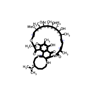 CO[C@H]1/C=C/O[C@@]2(C)Oc3c(C)c(O)c4c(c3C2=O)/C2=N/CC[C@H](N(C)C)CCCNC2=C(NC(=O)/C(C)=C\C=C\[C@H](C)[C@H](O)[C@@H](C)[C@@H](O)[C@@H](C)[C@H](OC(C)=O)[C@@H]1C)C4=O